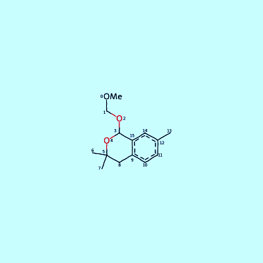 COCOC1OC(C)(C)Cc2ccc(C)cc21